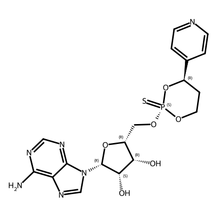 Nc1ncnc2c1ncn2[C@@H]1O[C@H](CO[P@@]2(=S)OCC[C@H](c3ccncc3)O2)[C@H](O)[C@@H]1O